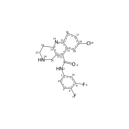 O=C(Nc1ccc(F)c(F)c1)c1c2c(nc3ccc(Cl)cc13)CCNC2